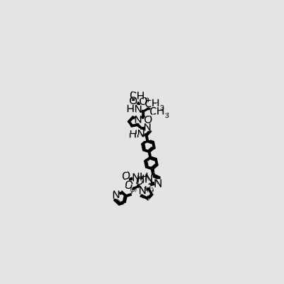 COC(=O)NC(C(=O)N1CCCC1c1ncc(-c2ccc(-c3ccc(-c4cnc([C@@H]5CCCN5C(=O)[C@H](Cc5cccnc5)OC(N)=O)[nH]4)cc3)cc2)[nH]1)C(C)C